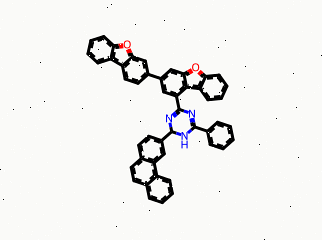 c1ccc(C2=NC(c3cc(-c4ccc5c(c4)oc4ccccc45)cc4oc5ccccc5c34)=NC(c3ccc4ccc5ccccc5c4c3)N2)cc1